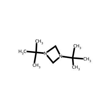 CC(C)(C)N1CN(C(C)(C)C)C1